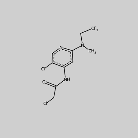 CN(CC(F)(F)F)c1cc(NC(=O)CCl)c(Cl)cn1